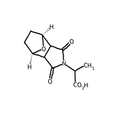 CC(C(=O)O)N1C(=O)C2C(C1=O)[C@H]1CC[C@@H]2O1